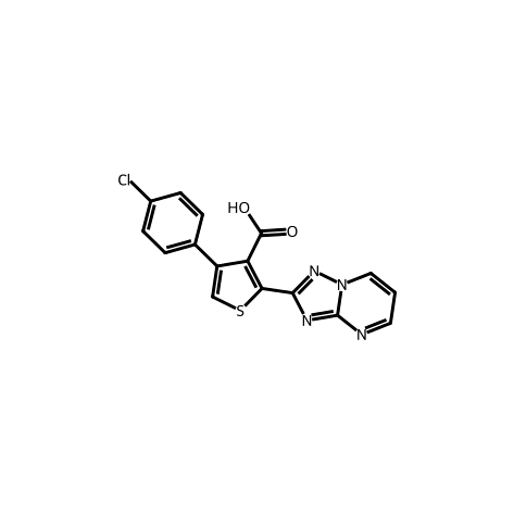 O=C(O)c1c(-c2ccc(Cl)cc2)csc1-c1nc2ncccn2n1